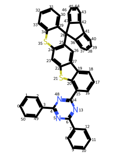 c1ccc(-c2nc(-c3ccccc3)nc(-c3cccc4c3sc3cc5c(cc34)C3(c4ccccc4S5)c4ccccc4-c4ccccc43)n2)cc1